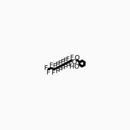 O=C(OC(F)C(F)(F)C(F)(F)C(F)(F)C(F)(F)C(F)(F)C(F)(F)C(F)C(F)C(F)F)c1ccccc1O